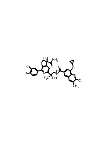 Cc1cc2cc(C(=O)NC[C@](O)(c3cc4c(c(-c5ccc(F)c(Cl)c5)n3)OC[C@]4(C)C(N)=O)C(F)(F)F)cc(OC3CC3)c2nc1Cl